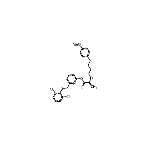 C=C(OCCCCc1ccc(OC)cc1)C(=O)Oc1cccc(CSc2c(Cl)cccc2Cl)n1